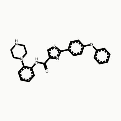 O=C(Nc1ccccc1N1CCNCC1)c1csc(-c2ccc(Oc3ccccc3)cc2)n1